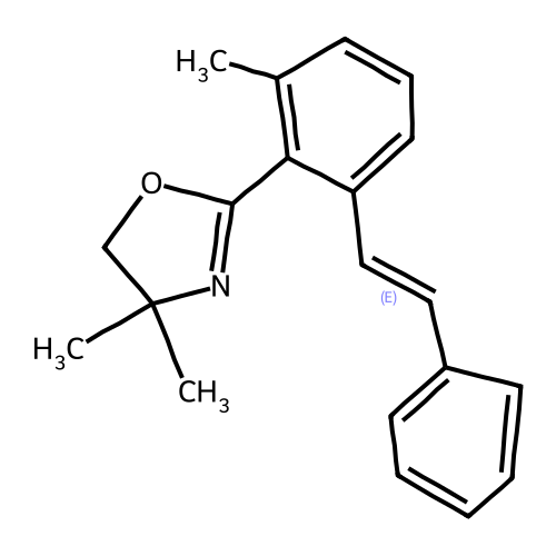 Cc1cccc(/C=C/c2ccccc2)c1C1=NC(C)(C)CO1